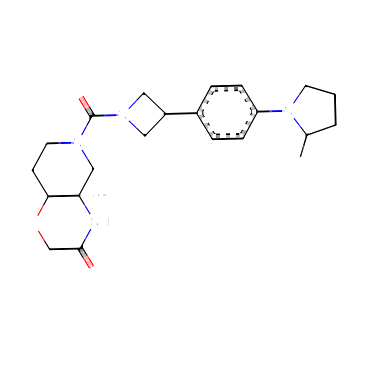 CCC1CCCN1c1ccc(C2CN(C(=O)N3CCC4OCC(=O)N[C@@H]4C3)C2)cc1